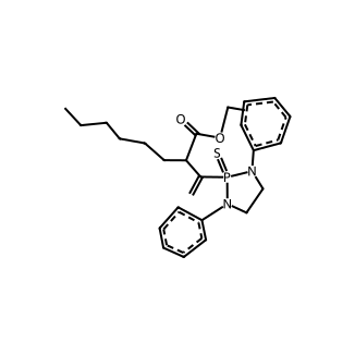 C=C(C(CCCCCC)C(=O)OCC)P1(=S)N(c2ccccc2)CCN1c1ccccc1